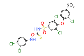 O=[N+]([O-])c1ccc(Oc2c(Cl)cc(S(=O)(=O)NC(=S)ONc3ccc(Cl)c(Cl)c3)cc2Cl)c(Cl)c1